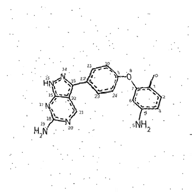 Cc1ccc(N)cc1Oc1ccc(-c2n[nH]c3nc(N)ncc23)cc1